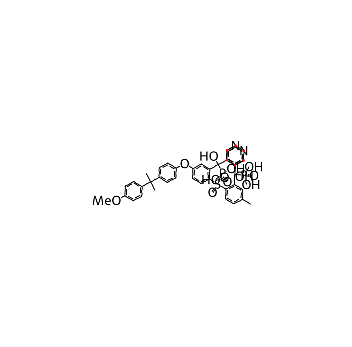 COc1ccc(C(C)(C)c2ccc(Oc3ccc(S(=O)(=O)c4ccc(C)cc4C(O)(c4ccncc4)P(=O)(O)O)c(C(O)(c4ccncc4)P(=O)(O)O)c3)cc2)cc1